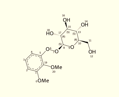 COc1cccc(OO[C@@H]2O[C@H](CO)[C@@H](O)[C@H](O)[C@H]2O)c1OC